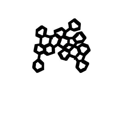 c1ccc(-c2ccc(-c3ccccc3N(c3ccc(-c4ccccc4)cc3)c3ccccc3-c3ccc4c(c3)C3(c5ccccc5-4)c4ccccc4-n4c5ccccc5c5cccc3c54)cc2)cc1